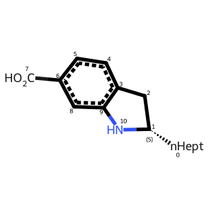 CCCCCCC[C@H]1Cc2ccc(C(=O)O)cc2N1